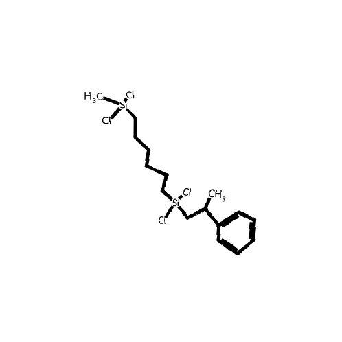 CC(C[Si](Cl)(Cl)CCCCCC[Si](C)(Cl)Cl)c1ccccc1